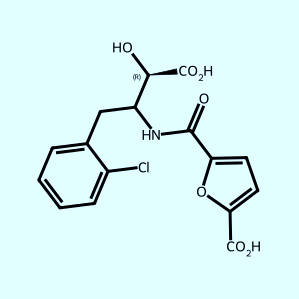 O=C(O)c1ccc(C(=O)NC(Cc2ccccc2Cl)[C@@H](O)C(=O)O)o1